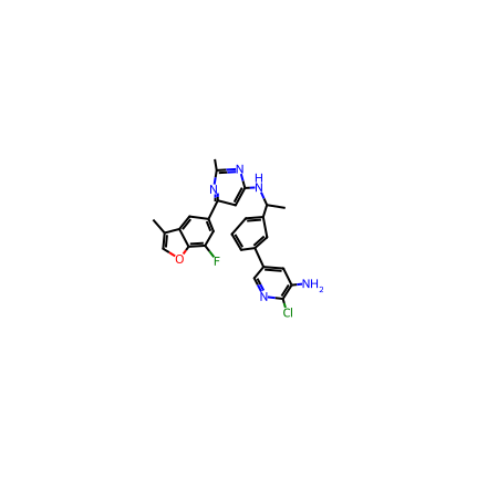 Cc1nc(NC(C)c2cccc(-c3cnc(Cl)c(N)c3)c2)cc(-c2cc(F)c3occ(C)c3c2)n1